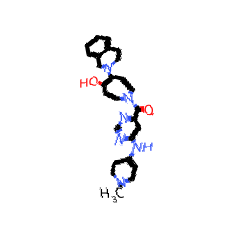 CN1CCC(Nc2cc(C(=O)N3C=CC(O)=C(N4CCc5ccccc5C4)C=C3)ncn2)CC1